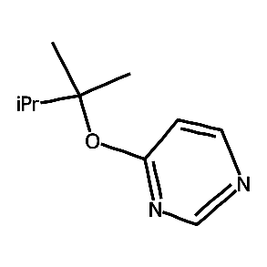 CC(C)C(C)(C)Oc1ccncn1